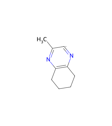 Cc1[c]nc2c(n1)CCCC2